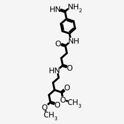 COC(=O)CC(CCNC(=O)CCC(=O)Nc1ccc(C(=N)N)cc1)C(=O)OC